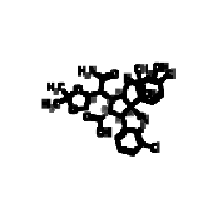 CC(C)(CO)C[C@@H]1N(C(C(N)=O)[C@H]2COC(C)(C)O2)[C@@H](C(=O)O)[C@H](c2cccc(Cl)c2F)[C@@]1(C#N)c1ccc(Cl)cc1F